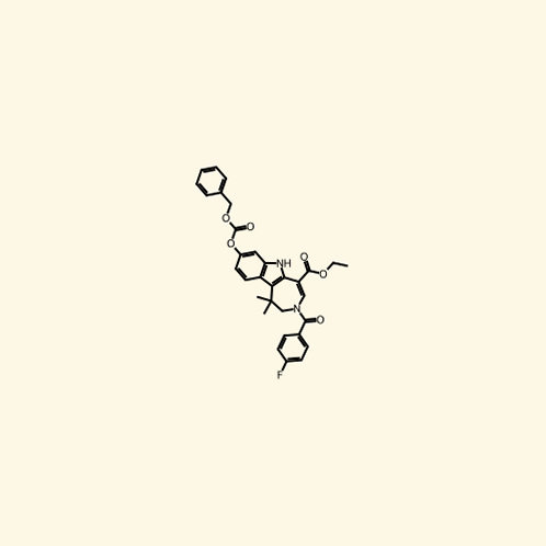 CCOC(=O)C1=CN(C(=O)c2ccc(F)cc2)CC(C)(C)c2c1[nH]c1cc(OC(=O)OCc3ccccc3)ccc21